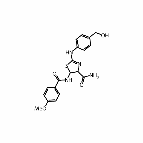 COc1ccc(C(=O)NC2SC(Nc3ccc(CO)cc3)=NC2C(N)=O)cc1